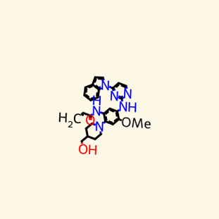 C=CC(=O)Nc1cc(Nc2nccc(-n3ccc4ccccc43)n2)c(OC)cc1N1CCC(CO)CC1